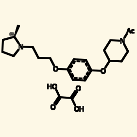 CC(=O)N1CCC(Oc2ccc(OCCCN3CCC[C@H]3C)cc2)CC1.O=C(O)C(=O)O